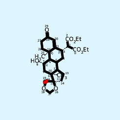 CCOC(=O)C(C(=O)OCC)[C@@H]1CC2C([C@@H](O)C[C@@]3(C)C2CC[C@@]32OCOC23COCO3)[C@@]2(C)CCC(=O)C=C12